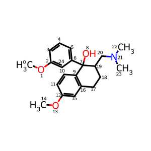 COc1cccc(C2(O)c3ccc(OC)cc3CCC2CN(C)C)c1